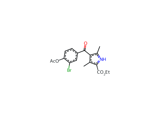 CCOC(=O)c1[nH]c(C)c(C(=O)c2ccc(OC(C)=O)c(Br)c2)c1C